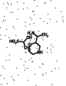 CC(N)C1CNCCO1.CC(O)C(=O)O